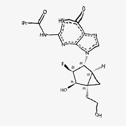 CC(C)C(=O)Nc1nc2c(ncn2[C@H]2[C@H](F)[C@H](O)[C@]3(CCO)C[C@H]23)c(=O)[nH]1